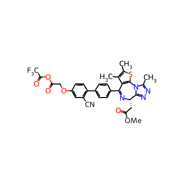 COC(=O)C[C@@H]1N=C(c2ccc(-c3ccc(OCC(=O)OC(=O)C(F)(F)F)cc3C#N)cc2)c2c(sc(C)c2C)-n2c(C)nnc21